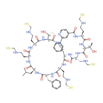 CC(C)C[C@@H]1NC(=O)[C@@H](Cc2ccccc2)NC(=O)[C@H](CCNCS)NC(=O)[C@@H](NC(=O)[C@@H](CNCS)NC(=O)[C@@H](NC(=O)[C@H](CCNCS)NC(=O)c2ccnc(-c3ccccc3)c2)[C@@H](C)O)CCNC(=O)[C@H]([C@@H](C)O)NC(=O)[C@H](CCNCS)NC(=O)[C@H](CCNCS)NC1=O